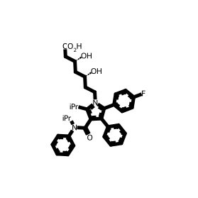 CC(C)c1c(C(=O)N(c2ccccc2)C(C)C)c(-c2ccccc2)c(-c2ccc(F)cc2)n1CC[C@@H](O)C[C@@H](O)CC(=O)O